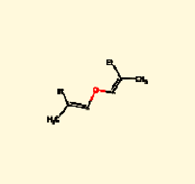 [CH2]C/C(C)=[C]\O/[C]=C(/C)C[CH2]